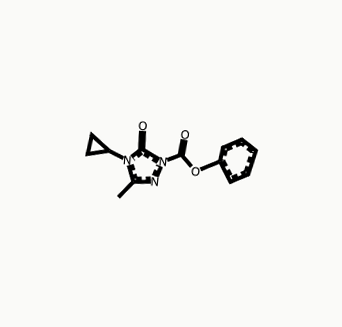 Cc1nn(C(=O)Oc2ccccc2)c(=O)n1C1CC1